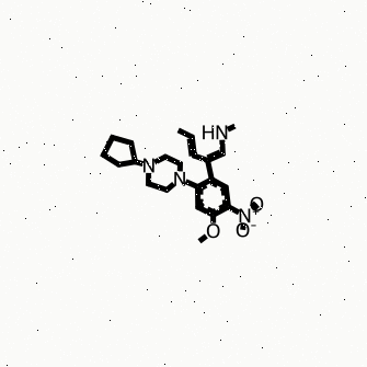 C/C=C/C(=C\NC)c1cc([N+](=O)[O-])c(OC)cc1N1CCN(C2CCCC2)CC1